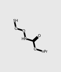 CCCOC(=O)NOOS